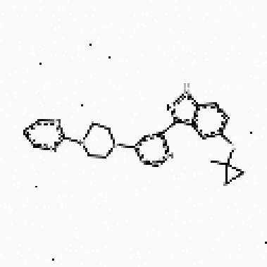 CC1(Oc2ccc3[nH]nc(-c4cc(N5CCN(c6ncccn6)CC5)ncn4)c3c2)CC1